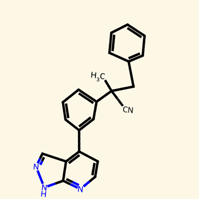 CC(C#N)(Cc1ccccc1)c1cccc(-c2ccnc3[nH]ncc23)c1